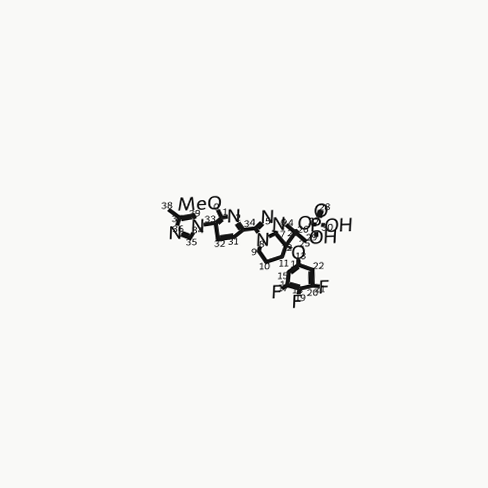 COc1nc(-c2nnc3n2CCC[C@@]3(Oc2cc(F)c(F)c(F)c2)C(C)(C)OP(=O)(O)O)ccc1-n1cnc(C)c1